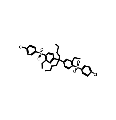 CCCCC(CCCC)(c1ccc(S(=O)(=O)c2ccc(Cl)cc2)c(CC)c1)c1ccc(S(=O)(=O)c2ccc(Cl)cc2)c(CC)c1